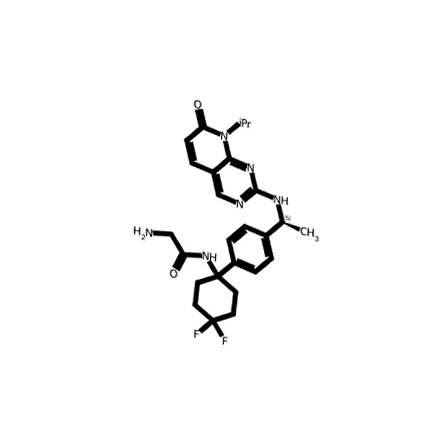 CC(C)n1c(=O)ccc2cnc(N[C@@H](C)c3ccc(C4(NC(=O)CN)CCC(F)(F)CC4)cc3)nc21